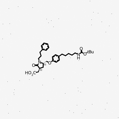 CC(C)(C)OC(=O)NCCCCCc1ccc(OC[C@@H]2C[C@@H](CC(=O)O)C(=O)N2CCCc2ccccc2)cc1